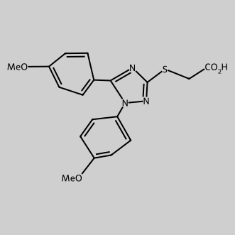 COc1ccc(-c2nc(SCC(=O)O)nn2-c2ccc(OC)cc2)cc1